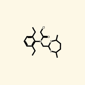 CCc1cccc(CC)c1N(CC1SC(C)CCC(C)S1)C(=O)CCl